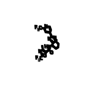 Cc1nc(C(F)(F)F)oc1C(=O)N[C@H]1CCCn2nc(-c3ccnc(C(F)(F)F)c3)nc21